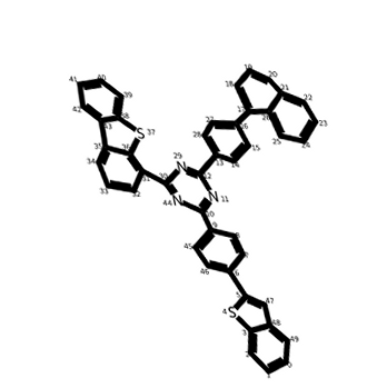 c1ccc2sc(-c3ccc(-c4nc(-c5ccc(-c6cccc7ccccc67)cc5)nc(-c5cccc6c5sc5ccccc56)n4)cc3)cc2c1